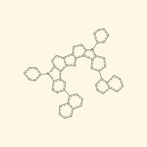 c1ccc(-n2c3ccc(-c4cccc5ccccc45)cc3c3c4oc5c(ccc6c5c5cc(-c7cccc8ccccc78)ccc5n6-c5ccccc5)c4ccc32)cc1